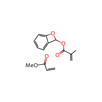 C=C(C)C(=O)OC1Oc2ccccc21.C=CC(=O)OC